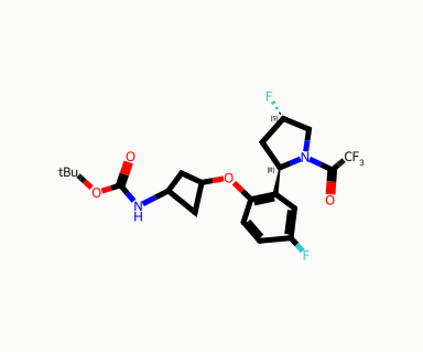 CC(C)(C)OC(=O)NC1CC(Oc2ccc(F)cc2[C@H]2C[C@H](F)CN2C(=O)C(F)(F)F)C1